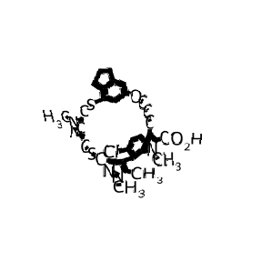 Cc1c2c(nn1C)CSCc1cc(n(C)n1)CSc1cc(cc3c1CCC3)OCCCc1c(C(=O)O)n(C)c3c-2c(Cl)ccc13